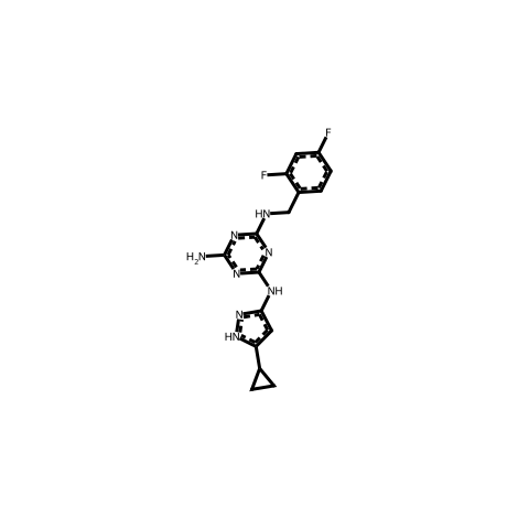 Nc1nc(NCc2ccc(F)cc2F)nc(Nc2cc(C3CC3)[nH]n2)n1